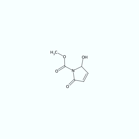 COC(=O)N1C(=O)C=CC1O